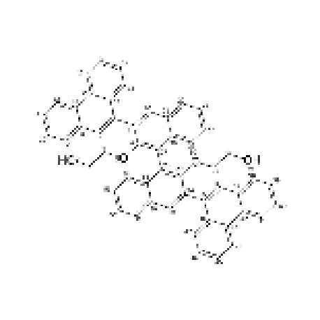 OCCOc1c(-c2cc3ccccc3c3ccccc23)cc2ccccc2c1-c1c(OCCO)c(-c2cc3ccccc3c3ccccc23)cc2ccccc12